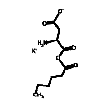 CCCCCC(=O)OC(=O)[C@@H](N)CC(=O)[O-].[K+]